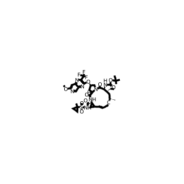 CC[C@@H]1C[C@H](C)CC/C=C\C2C[C@@]2(C(=O)NS(=O)(=O)C2(C)CC2)NC(=O)[C@@H]2C[C@@H](Oc3nc4cnc(OC)cc4nc3C(F)(F)F)CN2C(=O)[C@H]1NC(=O)OC(C)(C)C